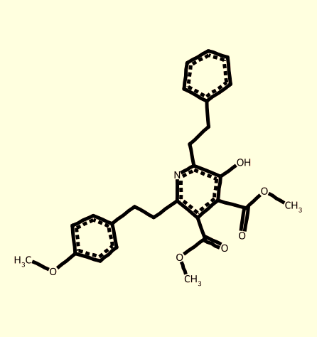 COC(=O)c1c(CCc2ccc(OC)cc2)nc(CCc2ccccc2)c(O)c1C(=O)OC